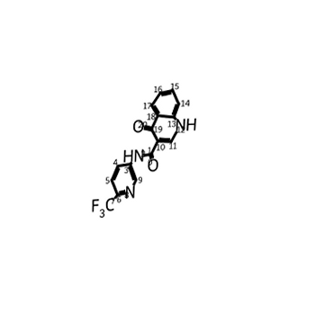 O=C(Nc1ccc(C(F)(F)F)nc1)c1c[nH]c2ccccc2c1=O